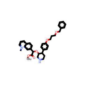 C[n+]1cccc2ccc(C(OC3CNCCC3c3ccc(OCCCOCc4ccccc4)cc3)C(=O)OC(C)(C)C)cc21